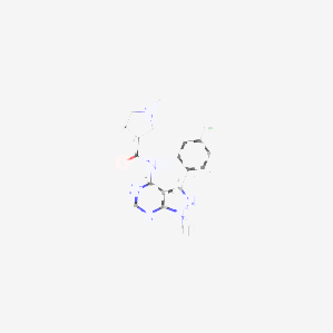 CN1CCC(C(=O)Nc2ncnc3c2c(-c2ccc(Cl)cc2)nn3C(C)(C)C)C1